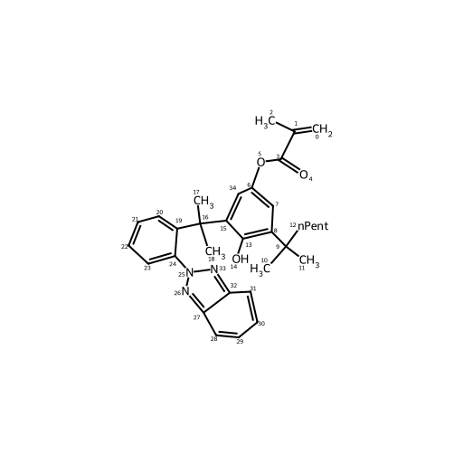 C=C(C)C(=O)Oc1cc(C(C)(C)CCCCC)c(O)c(C(C)(C)c2ccccc2-n2nc3ccccc3n2)c1